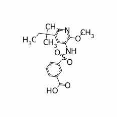 CCC(C)(C)c1cnc(OC)c(NS(=O)(=O)c2cccc(C(=O)O)c2)c1